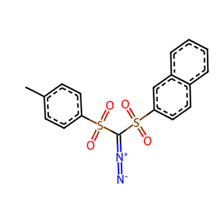 Cc1ccc(S(=O)(=O)C(=[N+]=[N-])S(=O)(=O)c2ccc3ccccc3c2)cc1